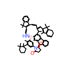 CC1=C(/C=C2/C=C\C3=C(/C=C/NB(c4cc(N5C(=O)CCC5=O)cc(C5(C)CCCCC5(C)C)c4C)c4c(cc5c(c4C)C(C)c4ccccc4-5)C2C)C(C)(C)c2ccccc23)C(C)(C)C2=C1C=CCC2